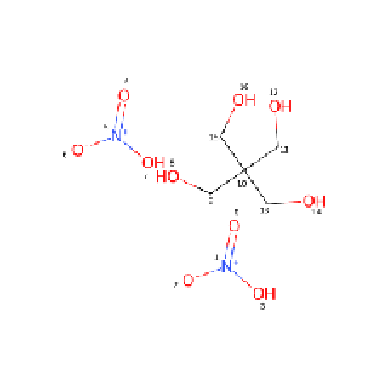 O=[N+]([O-])O.O=[N+]([O-])O.OCC(CO)(CO)CO